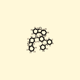 c1ccc(-c2ccccc2-c2ccc(N(c3ccc4sc5ccccc5c4c3)c3cccc4oc5ccccc5c34)cc2)cc1